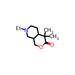 CCN1CCC2C(COC(=O)C2(C)C)C1